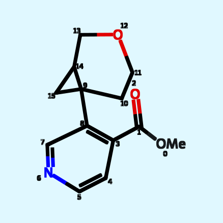 COC(=O)c1ccncc1C12CCOCC1C2